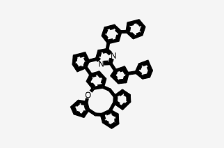 c1ccc(-c2cccc(-c3cc(-c4ccccc4-c4ccc5c(c4)Oc4ccccc4Cc4ccccc4-c4ccccc4C5)nc(-c4cccc(-c5ccccc5)c4)n3)c2)cc1